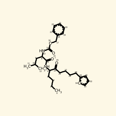 CCCCC(NC(=O)C(CC(C)C)NC(=O)OCc1ccccc1)C(=O)CCCCc1ccco1